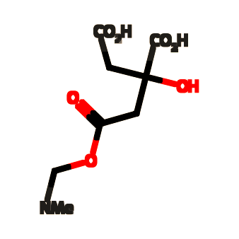 CNCOC(=O)CC(O)(CC(=O)O)C(=O)O